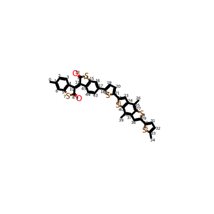 Cc1ccc2c(c1)SC(=O)/C2=C1/C(=O)Sc2cc(-c3ccc(-c4cc5c(C)c6sc(-c7ccc(C)s7)cc6c(C)c5s4)s3)ccc21